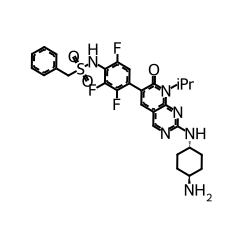 CC(C)n1c(=O)c(-c2cc(F)c(NS(=O)(=O)Cc3ccccc3)c(F)c2F)cc2cnc(N[C@H]3CC[C@H](N)CC3)nc21